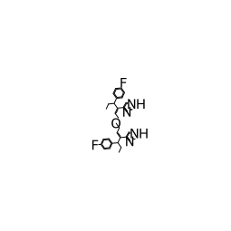 CCC(/C(=C/COC/C=C(\c1c[nH]cn1)C(CC)c1ccc(F)cc1)c1c[nH]cn1)c1ccc(F)cc1